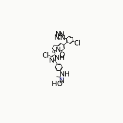 C/C(=N\O)Nc1ccc(-c2nc(Cl)c([C@@H]3CCc4cc(-c5cc(Cl)ccc5-n5cnnn5)cc(=O)n43)[nH]2)cc1